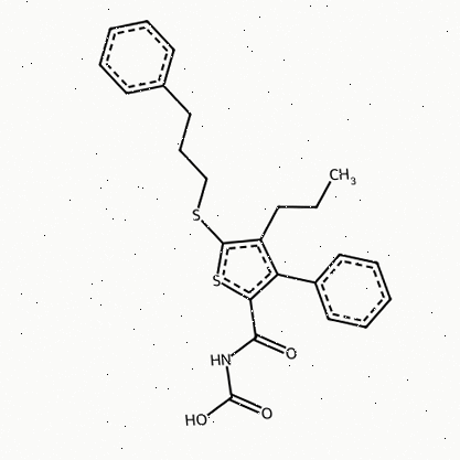 CCCc1c(SCCCc2ccccc2)sc(C(=O)NC(=O)O)c1-c1ccccc1